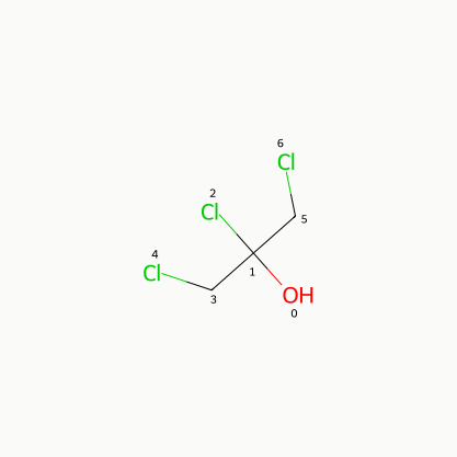 OC(Cl)(CCl)CCl